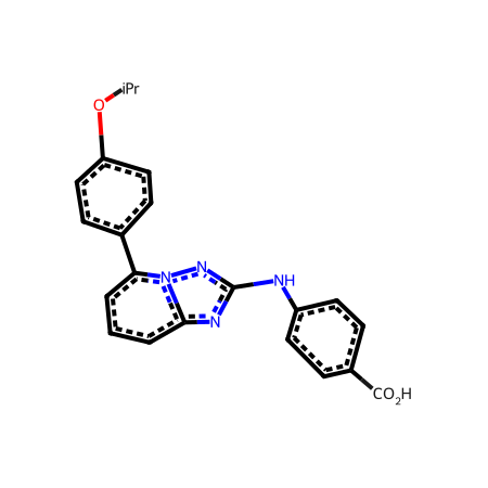 CC(C)Oc1ccc(-c2cccc3nc(Nc4ccc(C(=O)O)cc4)nn23)cc1